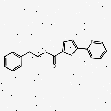 O=C(NCCc1ccccc1)c1ccc(-c2ccccn2)s1